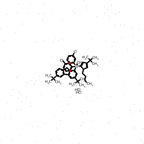 Cl.Cl.[CH2]=[Zr]([C]1=CC(C(C)(C)C)=CC1CCCC)([c]1cccc(Cl)c1)([c]1cccc(Cl)c1)[c]1cc(C(C)(C)C)cc2c1Cc1ccc(C(C)(C)C)cc1-2